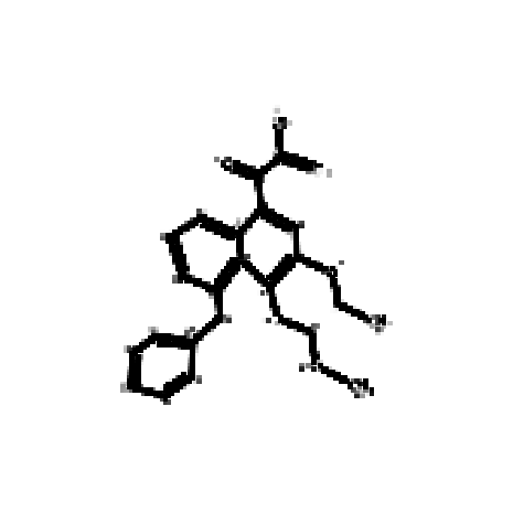 CCOc1cc(C(=O)C(=O)O)c2cccc(Cc3ccccc3)c2c1OCOC